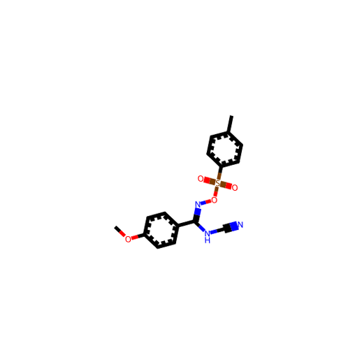 COc1ccc(C(=NOS(=O)(=O)c2ccc(C)cc2)NC#N)cc1